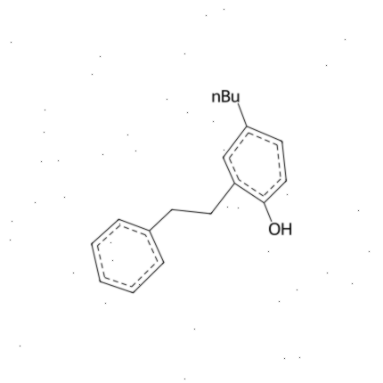 CCCCc1ccc(O)c(CCc2ccccc2)c1